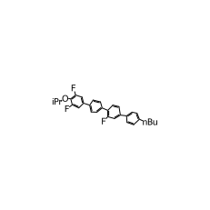 CCCCc1ccc(-c2ccc(-c3ccc(-c4cc(F)c(OC(C)C)c(F)c4)cc3)c(F)c2)cc1